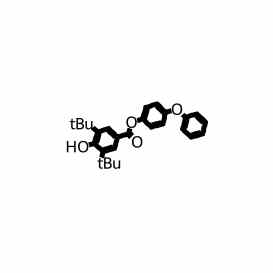 CC(C)(C)c1cc(C(=O)Oc2ccc(Oc3ccccc3)cc2)cc(C(C)(C)C)c1O